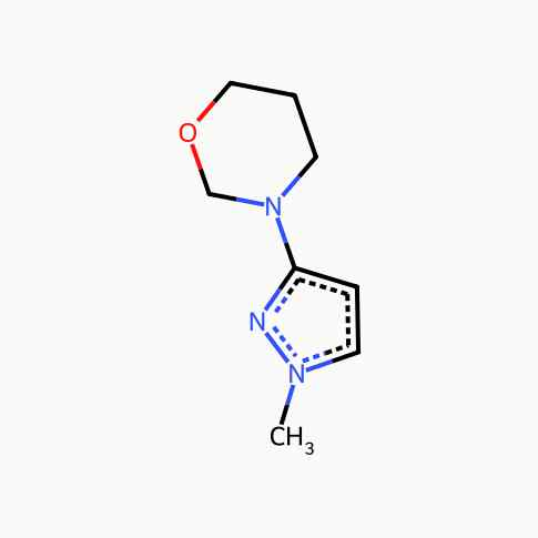 Cn1ccc(N2CCCOC2)n1